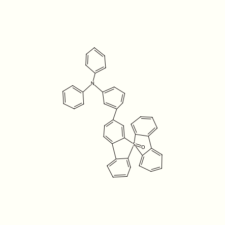 O=S12(c3ccccc3-c3ccccc31)c1ccccc1-c1ccc(-c3cccc(N(c4ccccc4)c4ccccc4)c3)cc12